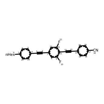 CCCCCCc1ccc(C#Cc2cc(F)c(C#Cc3ccc(C#N)cc3)c(F)c2)cc1